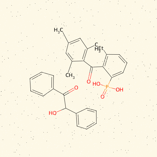 CCc1cccc(P(=O)(O)O)c1C(=O)c1c(C)cc(C)cc1C.O=C(c1ccccc1)C(O)c1ccccc1